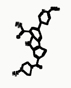 COC1=CCC(c2cc(C(N)=O)c3[nH]c4cc(C(=O)N5CCN(C)CC5)ccc4c3c2)C=N1